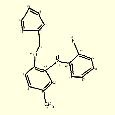 Cc1ccc(OCc2ccccc2)c(Pc2ccccc2F)c1